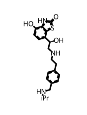 CC(C)NCc1ccc(CCNC[C@H](O)c2ccc(O)c3[nH]c(=O)sc23)cc1